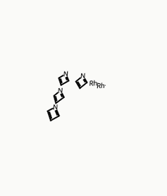 C1=CN=C1.C1=CN=C1.C1=CN=C1.C1=CN=C1.[Rh].[Rh]